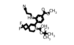 COC(=O)c1ccc(C2=CC3(CCN2C(=O)OC(C)(C)C)CC(F)(F)C3)c(NCCC#N)c1